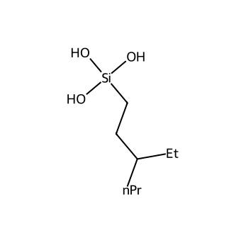 CCCC(CC)CC[Si](O)(O)O